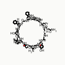 CCCC[C@H]1C(=O)N(C)[C@@H](CCCC)C(=O)N[C@@H](CC(C)C)C(=O)N[C@H](C(=O)NCC(N)=O)CCCNCC(=O)N[C@@H](Cc2ccc(O)cc2)C(=O)N(C)[C@@H](C)C(=O)N[C@@H](CC(N)=O)C(=O)N2CCC[C@H]2C(=O)N[C@@H](Cc2cnc[nH]2)C(=O)N[C@@H](CCC(N)=O)C(=O)N2C[C@H](O)C[C@H]2C(=O)N[C@@H](Cc2c[nH]c3ccccc23)C(=O)NCC(=O)N[C@@H](Cc2c[nH]c3ccccc23)C(=O)N1C